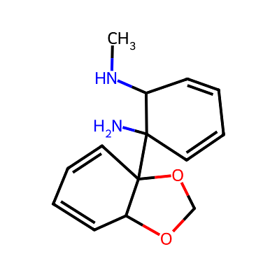 CNC1C=CC=CC1(N)C12C=CC=CC1OCO2